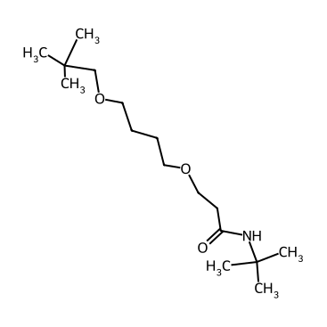 CC(C)(C)COCCCCOCCC(=O)NC(C)(C)C